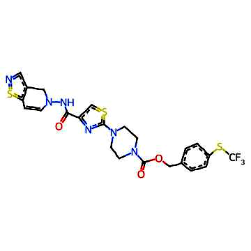 O=C(NN1C=Cc2sncc2C1)c1csc(N2CCN(C(=O)OCc3ccc(SC(F)(F)F)cc3)CC2)n1